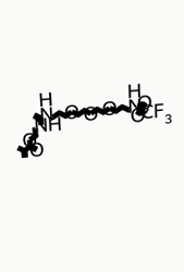 C=C(NCCCOCCOCCOCCCNS(=O)(=O)C(F)(F)F)NCCOC(=O)C(=C)C